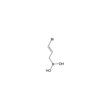 OB(O)CC=CBr